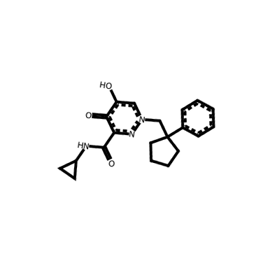 O=C(NC1CC1)c1nn(CC2(c3ccccc3)CCCC2)cc(O)c1=O